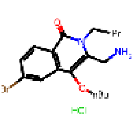 CCCCOc1c(CN)n(CC(C)C)c(=O)c2ccc(Br)cc12.Cl